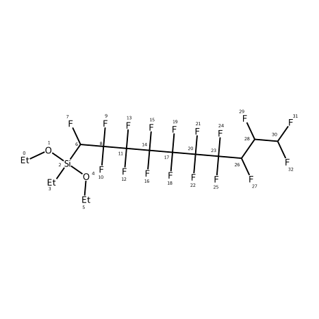 CCO[Si](CC)(OCC)C(F)C(F)(F)C(F)(F)C(F)(F)C(F)(F)C(F)(F)C(F)(F)C(F)C(F)C(F)F